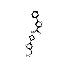 O=C(N[C@H]1C[C@H](c2nc(CO)no2)C1)c1cc(-c2ccccc2)on1